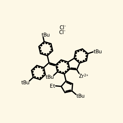 CCC1C=C(C(C)(C)C)C=C1c1c(C(C)(C)C)c(=C(c2ccc(C(C)(C)C)cc2)c2ccc(C(C)(C)C)cc2)cc2c1=[C]([Zr+2])c1cc(C(C)(C)C)ccc1-2.[Cl-].[Cl-]